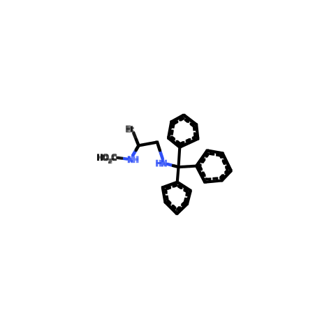 CCC(CNC(c1ccccc1)(c1ccccc1)c1ccccc1)NC(=O)O